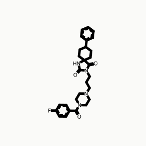 O=C(c1ccc(F)cc1)N1CCN(CCCN2C(=O)NC3(CCC(c4ccccc4)CC3)C2=O)CC1